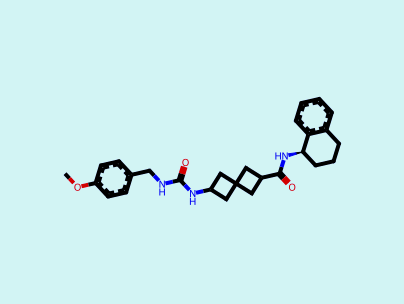 COc1ccc(CNC(=O)NC2CC3(C2)CC(C(=O)N[C@@H]2CCCc4ccccc42)C3)cc1